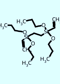 C=C[Si](CC[Si](C=C)(OCCC)OCCC)(OCCC)OCCC